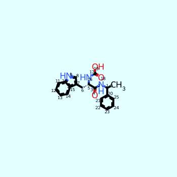 CC(NC(=O)[C@H](Cc1c[nH]c2ccccc12)NC(=O)O)c1ccccc1